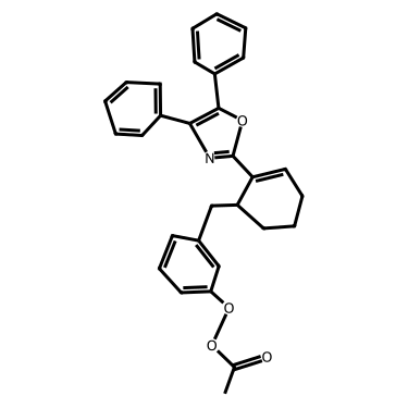 CC(=O)OOc1cccc(CC2CCCC=C2c2nc(-c3ccccc3)c(-c3ccccc3)o2)c1